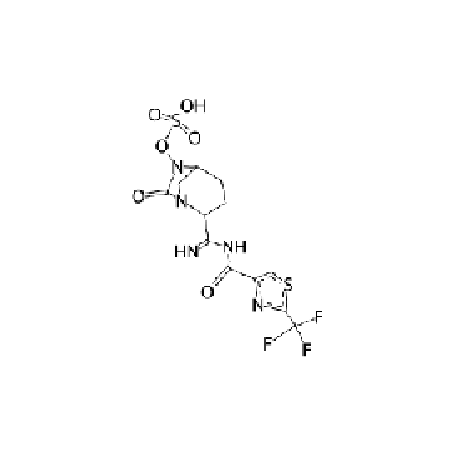 N=C(NC(=O)c1csc(C(F)(F)F)n1)C1CCC2CN1C(=O)N2OS(=O)(=O)O